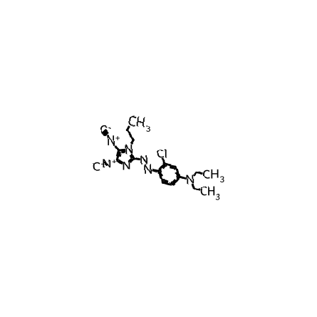 [C-]#[N+]c1nc(N=Nc2ccc(N(CC)CC)cc2Cl)n(CCC)c1[N+]#[C-]